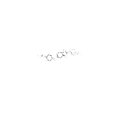 CC(=O)C1CSC(c2nc3ccc(Oc4ccc(O)cc4)cc3s2)=N1